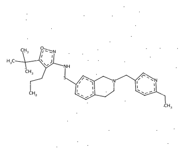 CCCc1c(NSc2ccc3c(c2)CN(Cc2ccc(CC)nc2)CC3)noc1C(C)(C)C